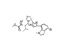 COC(=O)N[C@H](C(=O)N1CCC[C@@]1(C)c1nc(-c2ccc(Br)c3ccn(C)c23)c[nH]1)C(C)C